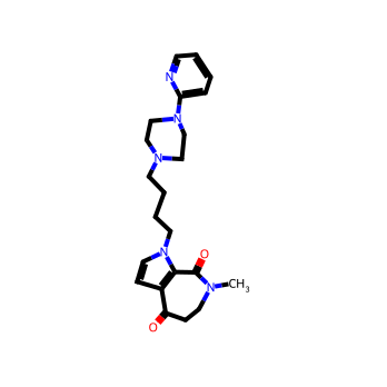 CN1CCC(=O)c2ccn(CCCCN3CCN(c4ccccn4)CC3)c2C1=O